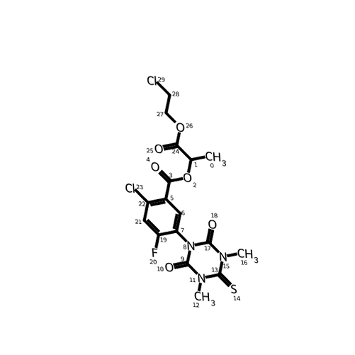 CC(OC(=O)c1cc(-n2c(=O)n(C)c(=S)n(C)c2=O)c(F)cc1Cl)C(=O)OCCCl